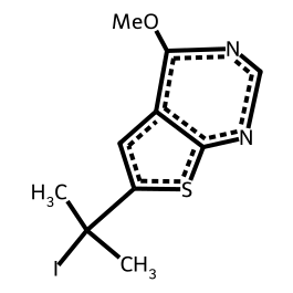 COc1ncnc2sc(C(C)(C)I)cc12